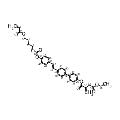 C=CC(=O)OCCCCOC(=O)Oc1ccc(/C=C/c2ccc(-c3ccc(OC(=O)C(=C)CC(=O)OCC)cc3)cc2)cc1